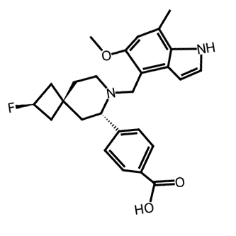 COc1cc(C)c2[nH]ccc2c1CN1CC[C@]2(C[C@H]1c1ccc(C(=O)O)cc1)C[C@H](F)C2